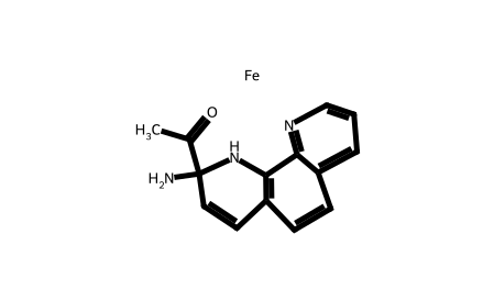 CC(=O)C1(N)C=Cc2ccc3cccnc3c2N1.[Fe]